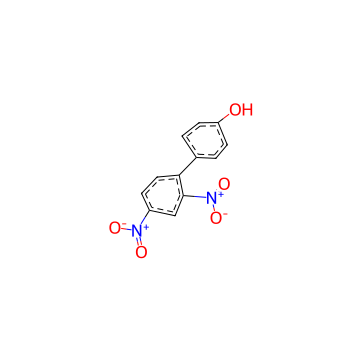 O=[N+]([O-])c1ccc(-c2ccc(O)cc2)c([N+](=O)[O-])c1